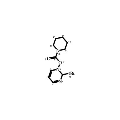 CC(C)(C)C1N=CC=CN1OC(=O)N1CCCCC1